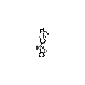 COc1ccccc1-c1noc(-c2ccc(N3CCCC(F)(F)C3)c(C)c2)n1